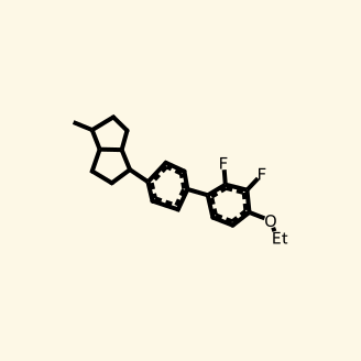 CCOc1ccc(-c2ccc(C3CCC4C(C)CCC34)cc2)c(F)c1F